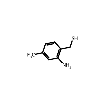 Nc1cc(C(F)(F)F)ccc1CS